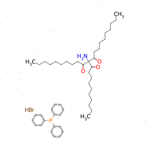 Br.CCCCCCCCCC(=O)C(N)(C(=O)CCCCCCCCC)C(=O)CCCCCCCCC.c1ccc(P(c2ccccc2)c2ccccc2)cc1